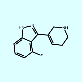 Fc1cccc2[nH]nc(C3=CCCNC3)c12